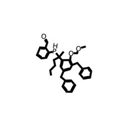 CCCCC(C)(Pc1ccccc1C=O)c1cc(Cc2ccccc2)cc(Cc2ccccc2)c1OCOC